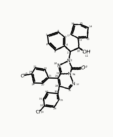 O=c1n(C(c2ccccc2)C(O)c2ccccc2)nc2c(-c3ccc(Cl)cc3)c(-c3ccc(Cl)cc3)cnn12